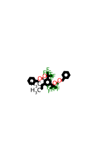 CCC(C)C1CC(C(OCOCC2CCCCC2)(C(F)(F)F)C(F)(F)F)CC(C(OCOCC2CCCCC2)(C(F)(F)F)C(F)(F)F)C1